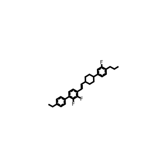 CCCc1ccc(C2CCC(/C=C/c3ccc(-c4ccc(CC)cc4)c(F)c3F)CC2)cc1F